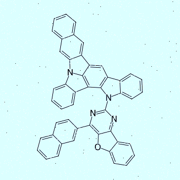 c1ccc2cc(-c3nc(-n4c5ccccc5c5cc6c7cc8ccccc8cc7n7c8ccccc8c(c54)c67)nc4c3oc3ccccc34)ccc2c1